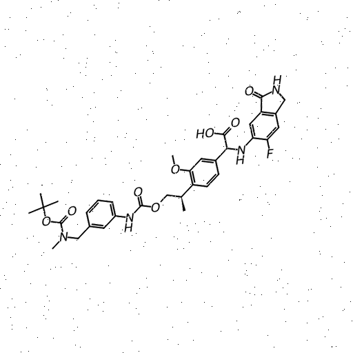 COc1cc(C(Nc2cc3c(cc2F)CNC3=O)C(=O)O)ccc1[C@@H](C)COC(=O)Nc1cccc(CN(C)C(=O)OC(C)(C)C)c1